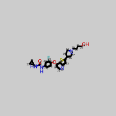 O=C(Nc1ccc(Oc2ccnc3cc(C4=CCN(CCCCO)CC4)sc23)c(F)c1)NC1CC1